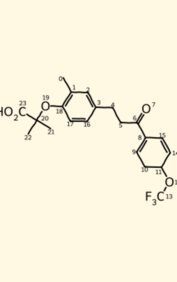 Cc1cc(CCC(=O)C2=CCC(OC(F)(F)F)C=C2)ccc1OC(C)(C)C(=O)O